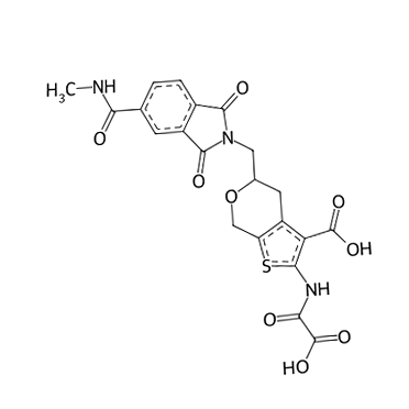 CNC(=O)c1ccc2c(c1)C(=O)N(CC1Cc3c(sc(NC(=O)C(=O)O)c3C(=O)O)CO1)C2=O